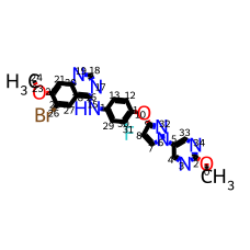 COc1ncc(-n2ccc(Oc3ccc(Nc4ncnc5cc(OC)c(Br)cc45)cc3F)n2)cn1